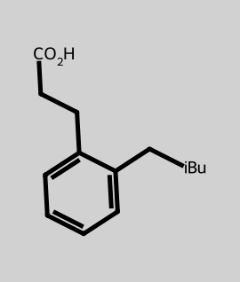 CCC(C)Cc1ccccc1CCC(=O)O